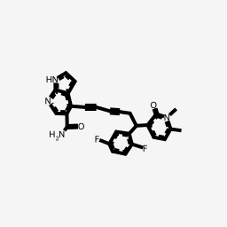 Cc1ccc(C(CC#CC#Cc2c(C(N)=O)cnc3[nH]ccc23)c2cc(F)ccc2F)c(=O)n1C